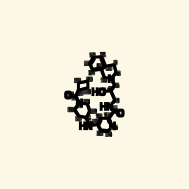 O=C(NCC(O)CN1CCc2ccccc2C1)c1cc(NC2CCN(C(=O)C3CCC3)CC2)ccn1